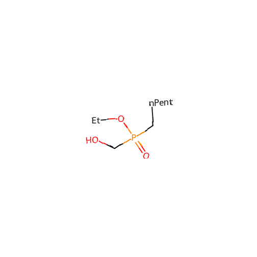 CCCCCCP(=O)(CO)OCC